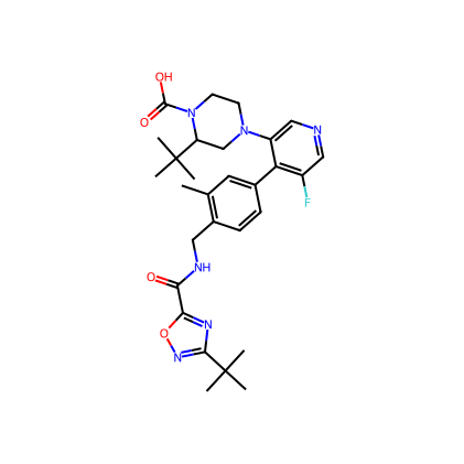 Cc1cc(-c2c(F)cncc2N2CCN(C(=O)O)C(C(C)(C)C)C2)ccc1CNC(=O)c1nc(C(C)(C)C)no1